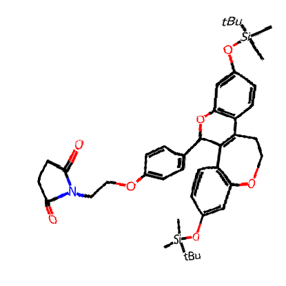 CC(C)(C)[Si](C)(C)Oc1ccc2c(c1)OC(c1ccc(OCCN3C(=O)CCC3=O)cc1)C1=C2CCOc2cc(O[Si](C)(C)C(C)(C)C)ccc21